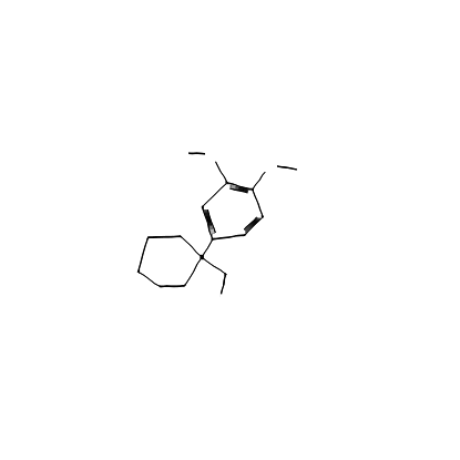 CCC1(c2ccc(OC)c(OC)c2)CCCCC1